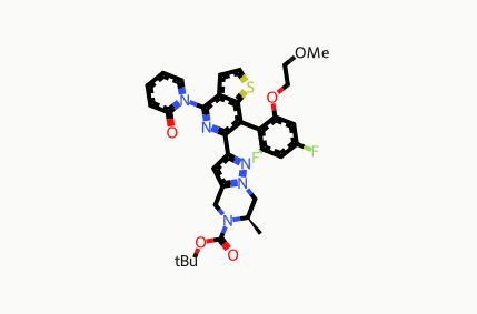 COCCOc1cc(F)cc(F)c1-c1c(-c2cc3n(n2)C[C@@H](C)N(C(=O)OC(C)(C)C)C3)nc(-n2ccccc2=O)c2ccsc12